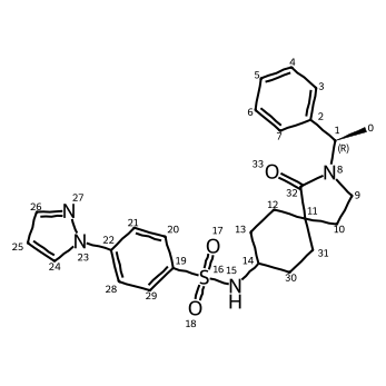 C[C@H](c1ccccc1)N1CCC2(CCC(NS(=O)(=O)c3ccc(-n4cccn4)cc3)CC2)C1=O